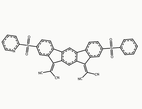 N#CC(C#N)=C1c2cc(S(=O)(=O)c3ccccc3)ccc2-c2cc3c(cc21)C(=C(C#N)C#N)c1cc(S(=O)(=O)c2ccccn2)ccc1-3